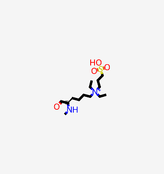 CC[N+](CC)(CCCC[C@H](C=O)NC)CCCS(=O)(=O)O